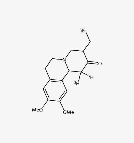 [2H]C1([2H])C(=O)C(CC(C)C)CN2CCc3cc(OC)c(OC)cc3C21